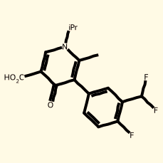 Cc1c(-c2ccc(F)c(C(F)F)c2)c(=O)c(C(=O)O)cn1C(C)C